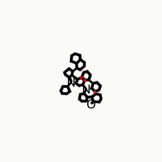 c1ccc(-c2ccccc2N(c2ccc3c4c(-c5cccc6ccccc56)cccc4n(-c4ccccc4)c3c2)c2cccc3oc4ccccc4c23)cc1